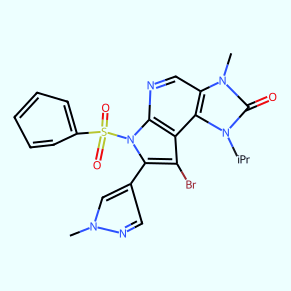 CC(C)n1c(=O)n(C)c2cnc3c(c(Br)c(-c4cnn(C)c4)n3S(=O)(=O)c3ccccc3)c21